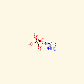 [NH4+].[NH4+].[NH4+].[O]=[V]([O-])([O-])[O-]